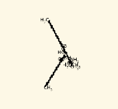 CCCCCCCCCCCCCCCCCCCCCC(=O)OCC(O)CN(CCCCC(N)C(=O)OC(C)(C)C)CC(O)COC(=O)CCCCCCCCCCCCCCCCCCCCC